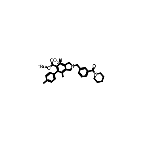 Cc1ccc(-c2c(C)c3c(c(C)c2C(OC(C)(C)C)C(=O)O)CN(Cc2cccc(C(=O)N4CCCCC4)c2)C3)cc1